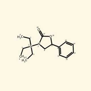 CC[Si](CC)(CC)N1CC(c2ccccc2)OC1=O